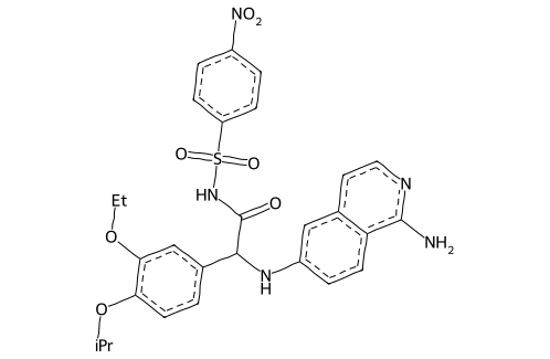 CCOc1cc(C(Nc2ccc3c(N)nccc3c2)C(=O)NS(=O)(=O)c2ccc([N+](=O)[O-])cc2)ccc1OC(C)C